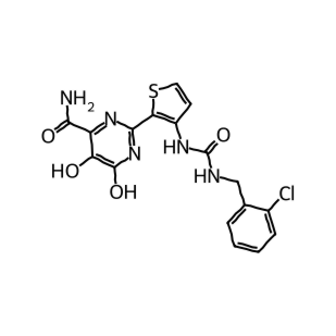 NC(=O)c1nc(-c2sccc2NC(=O)NCc2ccccc2Cl)nc(O)c1O